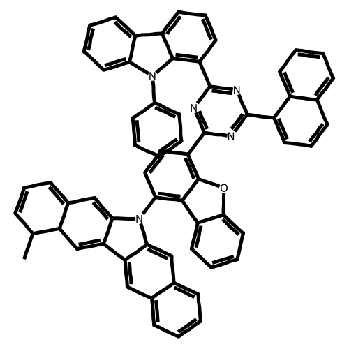 CC1C=CC=C2C=c3c(c4cc5ccccc5cc4n3-c3ccc(-c4nc(-c5cccc6ccccc56)nc(-c5cccc6c7ccccc7n(-c7ccccc7)c56)n4)c4oc5ccccc5c34)=CC21